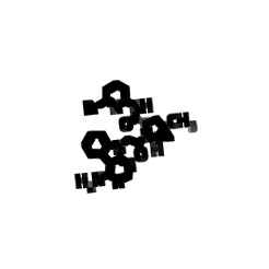 C[C@@]12C[C@@H](C(=O)Nc3cccc(Br)n3)N(C(=O)Cn3c4ccccc4c4c(N)ncnc43)[C@@H]1C2